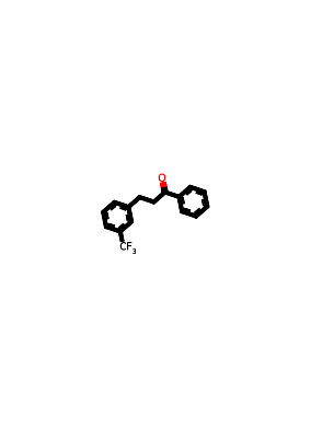 O=C(CCc1cccc(C(F)(F)F)c1)c1ccccc1